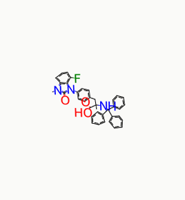 Cn1c(=O)n(-c2ccc(CC(C)(NC(c3ccccc3)(c3ccccc3)c3ccccc3)C(=O)O)cc2)c2c(F)cccc21